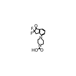 O=C(O)N1CCN(c2cccc3c2CC(F)(F)C3=O)CC1